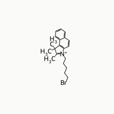 CC1=[N+](CCCCCBr)c2ccc3ccccc3c2C1(C)C